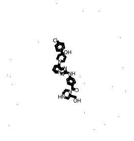 O=C(c1ccc(Nc2nc3c(N4CCC(O)(c5ccc(Cl)cc5)CC4)cccn3n2)cc1)N1CCNCC1CO